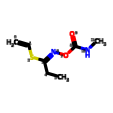 C=CSC(CC)=NOC(=O)NC